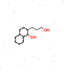 OCCCc1ccc2ccccc2c1O